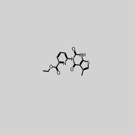 CCOC(=O)c1cccc(-n2c(=O)[nH]c3scc(C)c3c2=O)n1